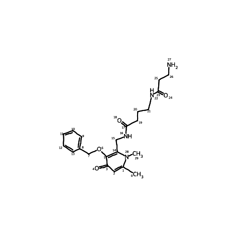 Cc1cc(=O)c(OCc2ccccc2)c(CNC(=O)CCCNC(=O)CCN)n1C